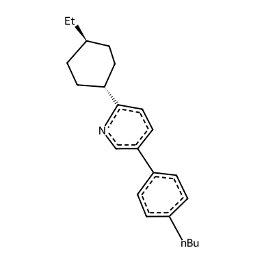 CCCCc1ccc(-c2ccc([C@H]3CC[C@H](CC)CC3)nc2)cc1